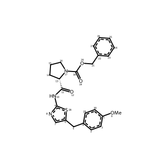 COc1ccc(Cc2cnc(NC(=O)[C@@H]3CCCN3C(=O)OCc3ccccc3)s2)cc1